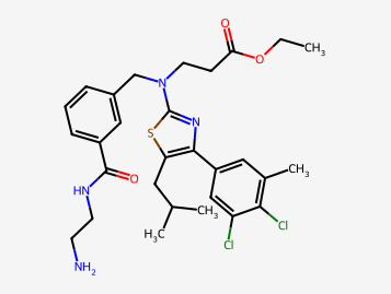 CCOC(=O)CCN(Cc1cccc(C(=O)NCCN)c1)c1nc(-c2cc(C)c(Cl)c(Cl)c2)c(CC(C)C)s1